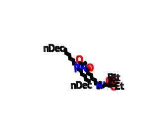 CCCCCCCCCCCCCCCCN(CCCCCCCCCCCCCCCC)C(=O)C(C)NC(=O)CCCCC[N+](C)(C)CCC[Si](OCC)(OCC)OCC